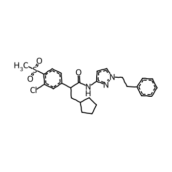 CS(=O)(=O)c1ccc(C(CC2CCCC2)C(=O)Nc2ccn(CCc3ccccc3)n2)cc1Cl